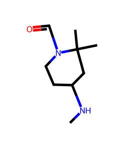 CNC1CCN(C=O)C(C)(C)C1